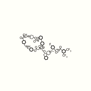 CN(CC(=O)Oc1ccc(CNCc2ccc(C(=O)N(C)CCN3CCC(OC(=O)Nc4ccccc4-c4ccccc4)CC3)cc2)cc1)C(=O)CO[C@H]1Cc2ccccc2C12CCN(CC[C@]1(c3ccc(F)cc3)CN(C(=O)c3cc(C(F)(F)F)cc(C(F)(F)F)c3)CO1)CC2